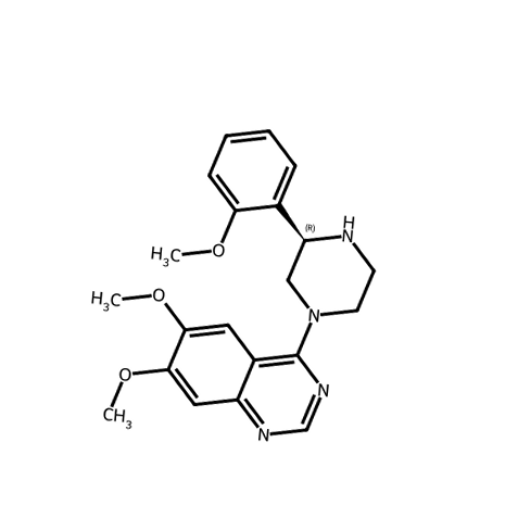 COc1cc2ncnc(N3CCN[C@H](c4ccccc4OC)C3)c2cc1OC